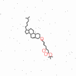 CC(C)CCC[C@@H](C)C1CCC2C3CC=C4C[C@@H](OC/C=C/CC(=O)CC(=O)OC(C)(C)C)CC[C@]4(C)C3CC[C@@]21C